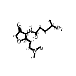 CC(C)C(C)C[CH]C(=O)NC1C(=O)COC1CCN(C)C